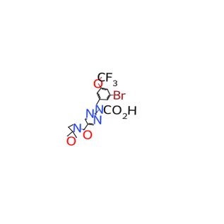 O=C(O)N(Cc1cc(Br)cc(OC(F)(F)F)c1)c1ncc(C(=O)N2CCC23COC3)cn1